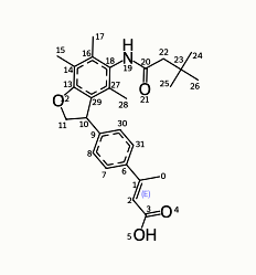 C/C(=C\C(=O)O)c1ccc(C2COc3c(C)c(C)c(NC(=O)CC(C)(C)C)c(C)c32)cc1